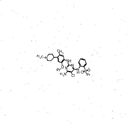 Cc1cc(Nc2nc(N)c(Cl)c(Nc3ccccc3S(=O)(=O)C(C)C)n2)c(OC(C)C)cc1C1CCN(C)CC1